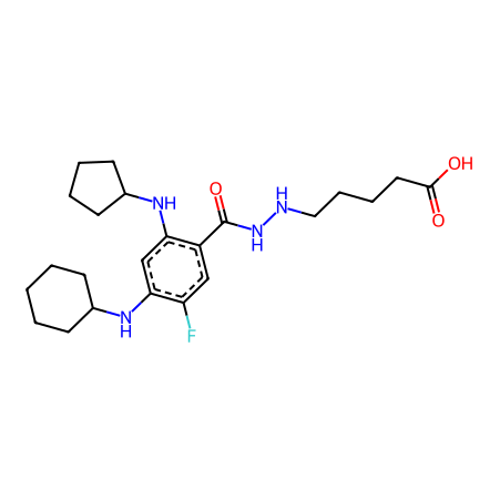 O=C(O)CCCCNNC(=O)c1cc(F)c(NC2CCCCC2)cc1NC1CCCC1